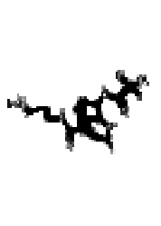 CC(F)(F)C(=O)OC1C2CC3C1OC(=O)C3C2C(=O)OCCCO